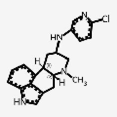 CN1CC(Nc2ccc(Cl)nc2)C[C@@H]2c3cccc4[nH]cc(c34)C[C@H]21